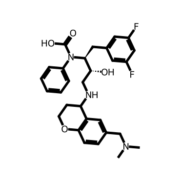 CN(C)Cc1ccc2c(c1)C(NC[C@@H](O)[C@H](Cc1cc(F)cc(F)c1)N(C(=O)O)c1ccccc1)CCO2